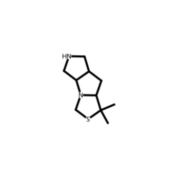 CC1(C)SCN2C3CNCC3CC21